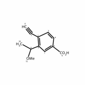 C#Cc1ccc(C(=O)O)cc1C(C)OC